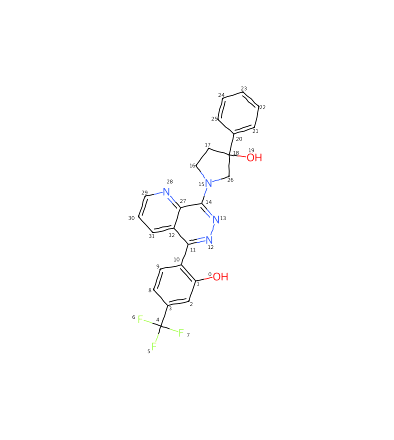 Oc1cc(C(F)(F)F)ccc1-c1nnc(N2CCC(O)(c3ccccc3)C2)c2ncccc12